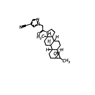 CC1C2[C@@H]3CC[C@@H]4[C@H](CC[C@]5(C)[C@@H](C(=O)Cn6cc(C#N)cn6)CC[C@@H]45)[C@H]3CC[C@]12O